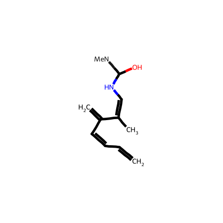 C=C/C=C\C(=C)/C(C)=C\NC(O)NC